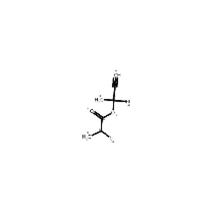 C#CC(C)(CC)OC(=O)C(C)Cl